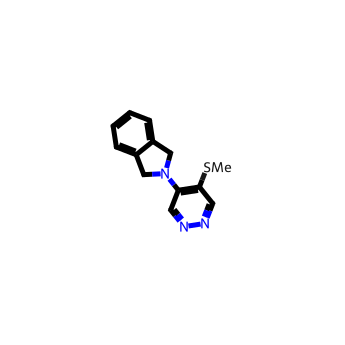 CSc1cnncc1N1Cc2ccccc2C1